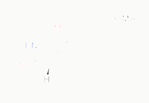 COc1ccc(C23C[C@@H]2C(=O)NC3=O)cc1